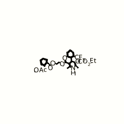 CCOC(=O)OC1=C(C)NC(C)=C(C(=O)OCCOC(=O)c2ccccc2OC(C)=O)C1c1ccccc1C(F)(F)F